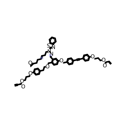 C#CC(=O)OCCCOc1ccc(CCOCc2ccc(OCc3ccc(C#Cc4ccc(OCCCOC(=O)C=C)cc4)cc3)cc2/C=N/N(CC/C=C/CCC2CO2)c2nc3ccccc3s2)cc1